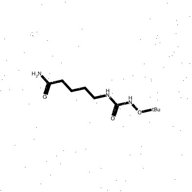 CC(C)(C)ONC(=O)NCCCCC(N)=O